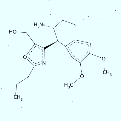 CCCc1nc([C@@H]2c3cc(OC)c(OC)cc3CC[C@H]2N)c(CO)o1